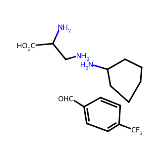 NC1CCCCC1.NCC(N)C(=O)O.O=Cc1ccc(C(F)(F)F)cc1